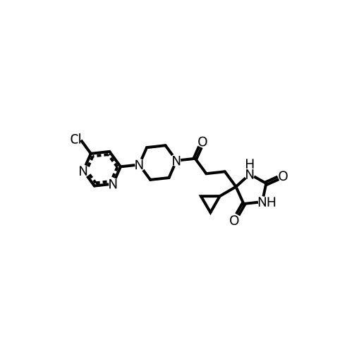 O=C1NC(=O)C(CCC(=O)N2CCN(c3cc(Cl)ncn3)CC2)(C2CC2)N1